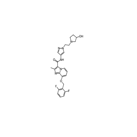 Cc1nc2c(OCc3c(F)cccc3F)cccn2c1C(=O)Nc1cnn(CCN2CCC(O)C2)c1